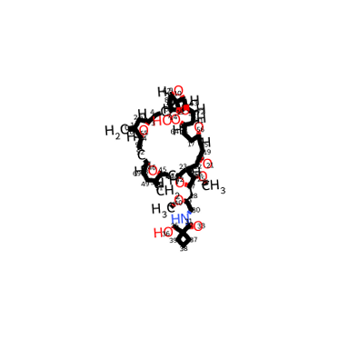 C=C1C[C@@H]2CC[C@@]3(O)C[C@H]4OC5[C@@H]6C(O[C@H]7CC[C@H](CC(=O)C[C@@H]8[C@@H](OC)[C@@H](C[C@@H](CNC(=O)C9(CO)CCC9)OC)O[C@H]8C[C@H]8O[C@H](CCC8=C)CC[C@@H]1O2)O[C@@H]7[C@@H]6O3)[C@@H]54